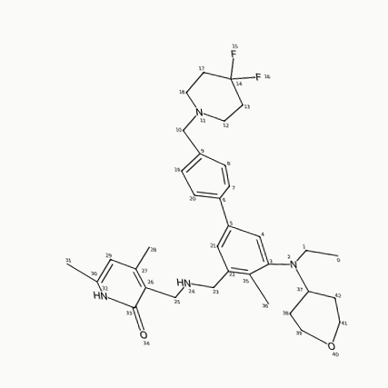 CCN(c1cc(-c2ccc(CN3CCC(F)(F)CC3)cc2)cc(CNCc2c(C)cc(C)[nH]c2=O)c1C)C1CCOCC1